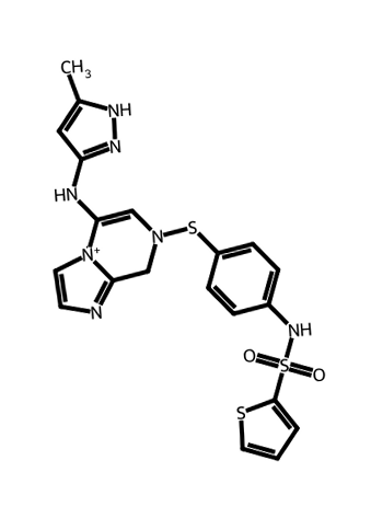 Cc1cc(NC2=CN(Sc3ccc(NS(=O)(=O)c4cccs4)cc3)CC3=NC=C[N+]23)n[nH]1